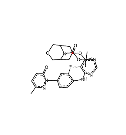 Cc1ccc(=O)n(-c2ccc(Nc3ncnc(OC4CC5COCC(C4)N5C(=O)OC(C)(C)C)c3C)c(F)c2)n1